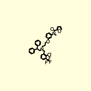 CN(C(=O)c1ccco1)c1cccc(OCCCN(Cc2cccc(C(F)(F)F)c2Cl)CC(c2ccccc2)c2ccccc2)c1